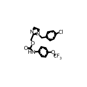 O=C(Nc1ccc(OC(F)(F)F)cc1)OCc1nccn1Cc1ccc(Cl)cc1